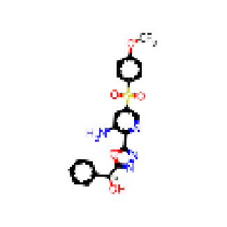 Nc1cc(S(=O)(=O)c2ccc(OC(F)(F)F)cc2)cnc1-c1nnc([C@@H](O)c2ccccc2)o1